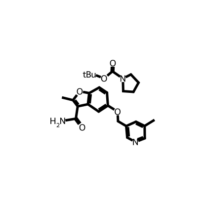 CC(C)(C)OC(=O)N1CCCC1.Cc1cncc(COc2ccc3oc(C)c(C(N)=O)c3c2)c1